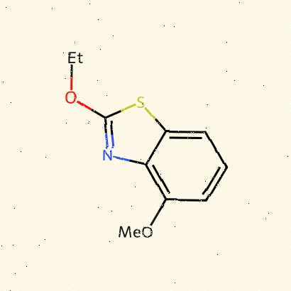 CCOc1nc2c(OC)cccc2s1